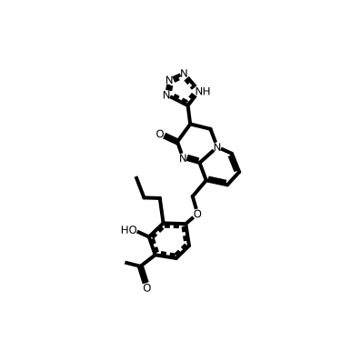 CCCc1c(OCC2=CC=CN3CC(c4nnn[nH]4)C(=O)N=C23)ccc(C(C)=O)c1O